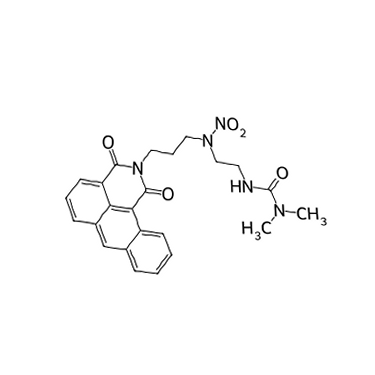 CN(C)C(=O)NCCN(CCCN1C(=O)c2cccc3cc4ccccc4c(c23)C1=O)[N+](=O)[O-]